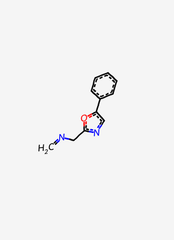 C=NCc1ncc(-c2ccccc2)o1